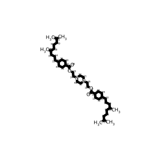 CC(C)CCCC(C)CCCC1CCC(C(=O)OCCN2CCN(CCOC(=O)C3CCC(CCCC(C)CCCC(C)C)CC3)CC2)CC1